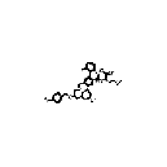 COc1ccc(COC(COCc2ccc(C(=O)N[C@@H](CCSC)C(=O)[O-])c(-c3ccccc3C)c2)CC2CCCCC2)cc1.[Li+]